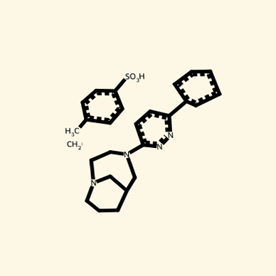 Cc1ccc(S(=O)(=O)O)cc1.[CH2].c1ccc(-c2ccc(N3CCN4CCCC(C4)C3)nn2)cc1